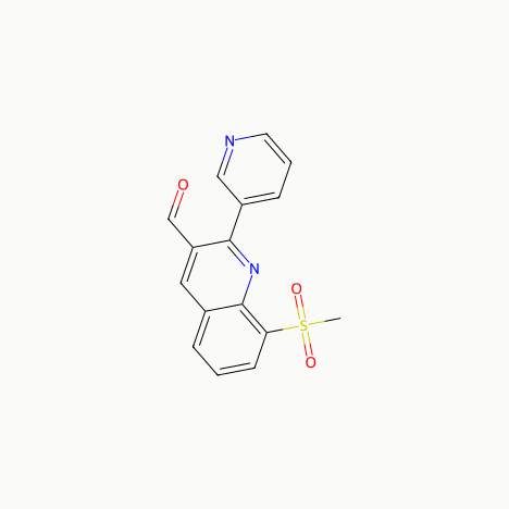 CS(=O)(=O)c1cccc2cc(C=O)c(-c3cccnc3)nc12